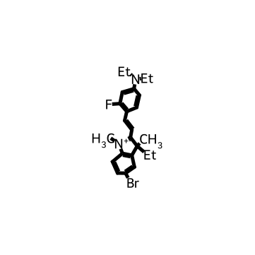 CCN(CC)c1ccc(/C=C/C2=[N+](C)c3ccc(Br)cc3C2(C)CC)c(F)c1